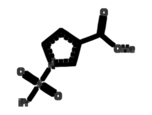 COC(=O)c1ccn(S(=O)(=O)C(C)C)c1